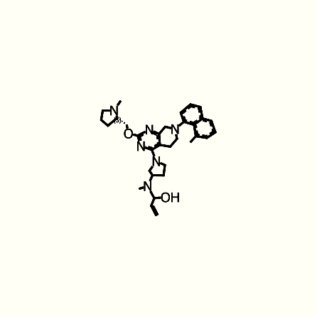 C=CC(O)N(C)C1CCN(c2nc(OC[C@@H]3CCCN3C)nc3c2CCN(c2cccc4cccc(C)c24)C3)C1